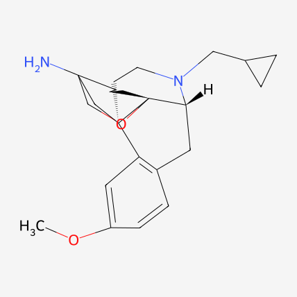 COc1ccc2c(c1)[C@]13CCN(CC4CC4)[C@H](C2)[C@]12CCC(N)(CO2)C3